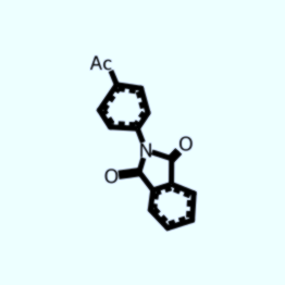 CC(=O)c1ccc(N2C(=O)c3ccccc3C2=O)cc1